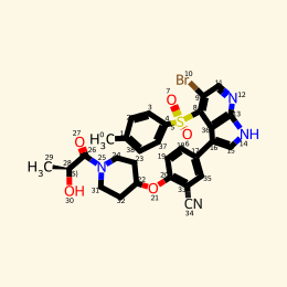 Cc1ccc(S(=O)(=O)c2c(Br)cnc3[nH]cc(-c4ccc(OC5CCN(C(=O)[C@H](C)O)CC5)c(C#N)c4)c23)cc1